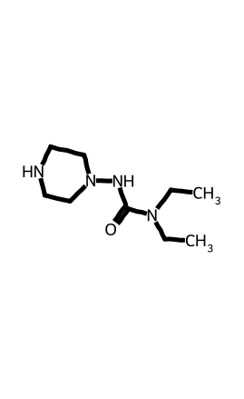 CCN(CC)C(=O)NN1CCNCC1